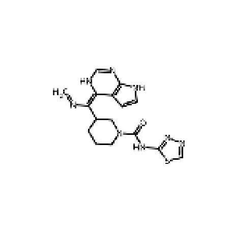 C=N/C(=C1\NC=Nc2[nH]ccc21)C1CCCN(C(=O)Nc2nncs2)C1